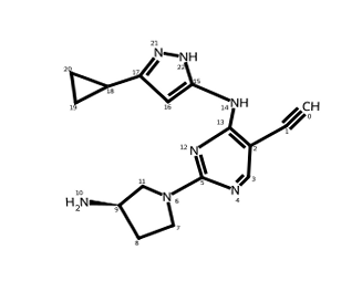 C#Cc1cnc(N2CC[C@@H](N)C2)nc1Nc1cc(C2CC2)n[nH]1